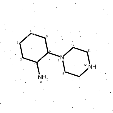 NC1CCCCC1N1CCNCC1